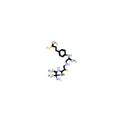 C=C(P)CCc1ccc(NC(=C)CNCC(=S)C(NC(=C)C(C)(N)CCC)C(C)C)cc1